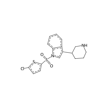 O=S(=O)(c1ccc(Cl)s1)n1cc(C2CCCNC2)c2ccccc21